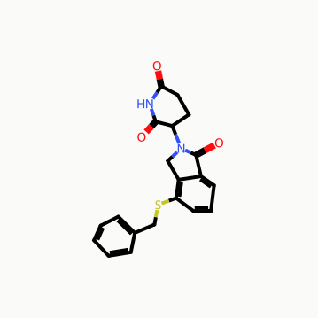 O=C1CCC(N2Cc3c(SCc4ccccc4)cccc3C2=O)C(=O)N1